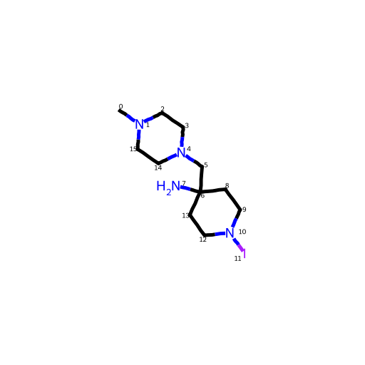 CN1CCN(CC2(N)CCN(I)CC2)CC1